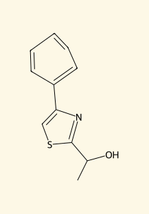 CC(O)c1nc(-c2ccccc2)cs1